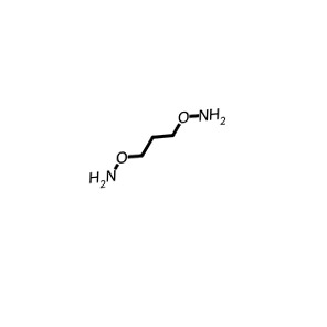 NOCCCON